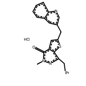 CC(C)Cc1nn(C)c(=O)c2cc(Cc3cnc4ccccc4c3)sc12.Cl